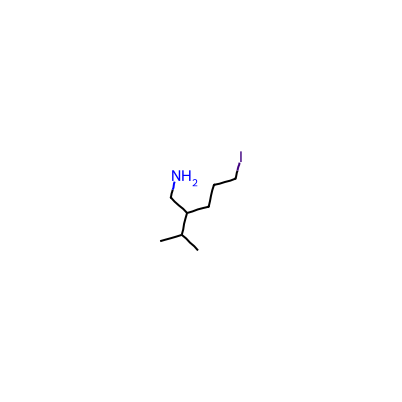 CC(C)C(CN)CCCI